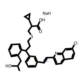 CC(O)Cc1ccccc1C(CCSCC(C(=O)O)C1CC1)c1cccc(/C=C/c2ccc3ccc(Cl)cc3n2)c1.[NaH]